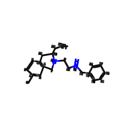 Cc1ccc2c(c1)CN(CCNCc1ccccc1)C(CC(C)C)C2